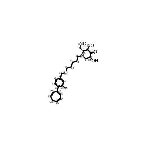 O=NC[C@H]1C(N=O)C(=O)[C@@H](O)CN1CCCCCOCc1ccc(C2=CC=CCC=C2)c(F)c1